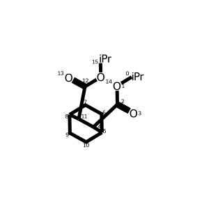 CC(C)OC(=O)C1C2CCC(CC2)C1C(=O)OC(C)C